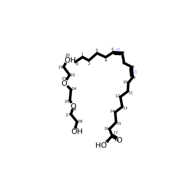 CCCCC/C=C\C/C=C\CCCCCCCC(=O)O.OCCOCCOCCO